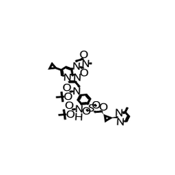 Cc1ccnc([C@H]2C[C@@H]2C(=O)CS(=O)(=O)c2ccc(N(Cc3cn4cc(C5CC5)cc(N5CC(=O)N(C)C5=O)c4n3)C(=O)OC(C)(C)C)cc2NC(=O)OC(C)(C)C)n1